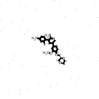 COc1cc(-c2cnc(N)c(-c3ccc(N)cc3F)c2)ccc1OC[C@@H]1COCCO1